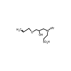 C=CCOCC(O)CN(CCC)CCS(=O)(=O)O